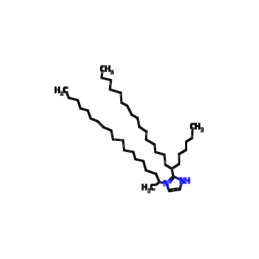 CCCCCCCCCCCCCCCCCC(C)[n+]1cc[nH]c1C(CCCCCC)CCCCCCCCCCCCCCCC